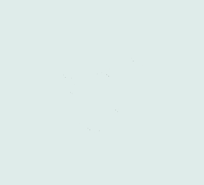 C1=Cc2cc3ccc(cc4nc(cc5ccc(cc1n2)[nH]5)C=C4)[nH]3.[AlH3].[Cl][Al]([Cl])[Cl]